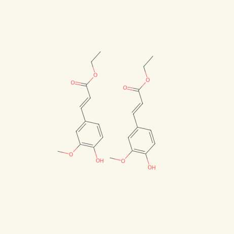 CCOC(=O)C=Cc1ccc(O)c(OC)c1.CCOC(=O)C=Cc1ccc(O)c(OC)c1